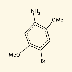 COc1cc(Br)c(OC)cc1N